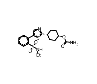 CCNS(=O)(=O)c1ccccc1-c1cnc([C@H]2CC[C@H](OC(N)=O)CC2)s1